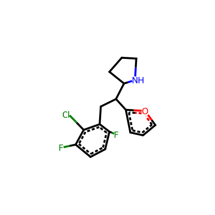 Fc1ccc(F)c(CC(c2ccco2)C2CCCN2)c1Cl